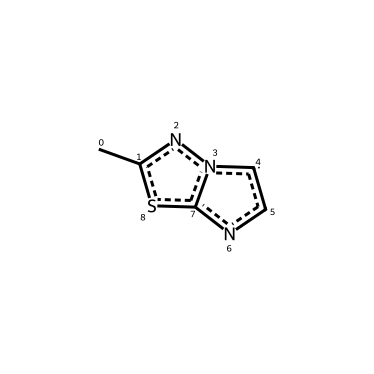 Cc1nn2[c]cnc2s1